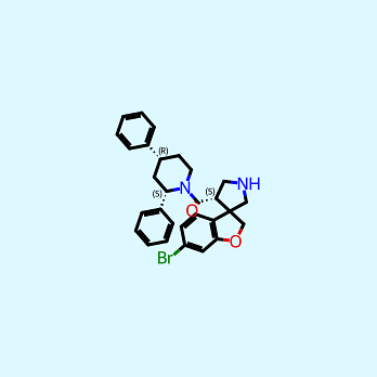 O=C([C@@H]1CNCC12COc1cc(Br)ccc12)N1CC[C@@H](c2ccccc2)C[C@H]1c1ccccc1